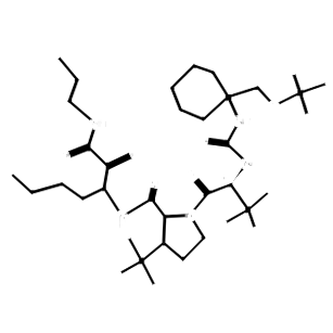 CCCCC(NC(=O)C1C(C(C)(C)C)CCN1C(=O)[C@@H](NC(=O)NC1(CSC(C)(C)C)CCCCC1)C(C)(C)C)C(=O)C(=O)NCCC